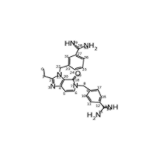 CCc1nc2ccn(Cc3ccc(C(=N)N)cc3)c(=O)c2n1Cc1cccc(C(=N)N)c1